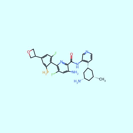 C[C@@H]1C[C@H](N)C[C@H](c2ccncc2NC(=O)c2nc(-c3c(F)cc(C4COC4)cc3P)c(F)cc2N)C1